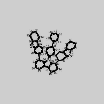 C1=c2sc3ccccc3c2=CCC1c1cccc2c3cccc(-c4ccc5c(c4)sc4ccccc45)c3n(-c3ccc(-c4ccccc4)cc3)c12